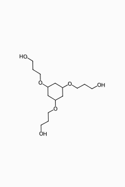 OCCCOC1CC(OCCCO)CC(OCCCO)C1